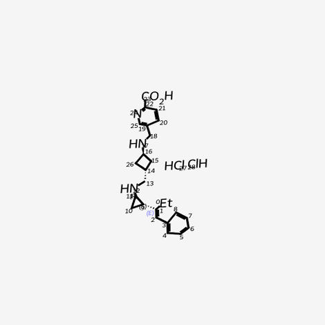 CC/C(=C\c1ccccc1)[C@@H]1C[C@H]1NC[C@H]1C[C@H](NCc2ccc(C(=O)O)nc2)C1.Cl.Cl